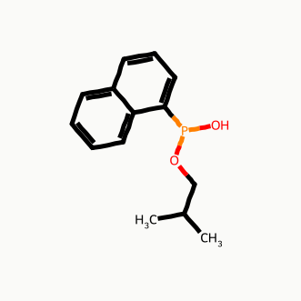 CC(C)COP(O)c1cccc2ccccc12